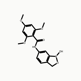 COc1cc(OC)c(C(=O)Nc2ccc3c(c2)B(O)OC3)c(OC)c1